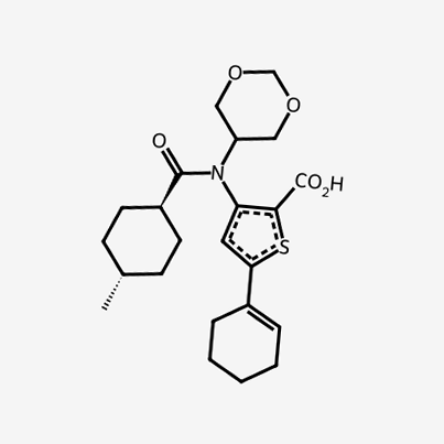 C[C@H]1CC[C@H](C(=O)N(c2cc(C3=CCCCC3)sc2C(=O)O)C2COCOC2)CC1